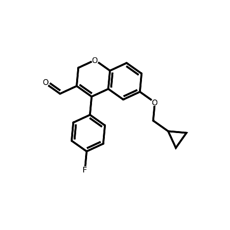 O=CC1=C(c2ccc(F)cc2)c2cc(OCC3CC3)ccc2OC1